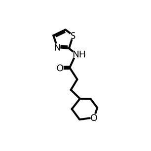 O=C(CCC1CCOCC1)Nc1nccs1